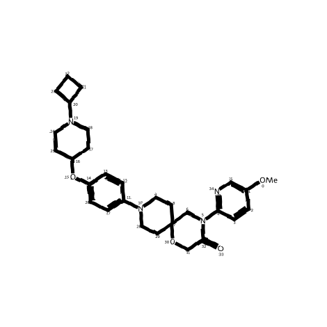 COc1ccc(N2CC3(CCN(c4ccc(OC5CCN(C6CCC6)CC5)cc4)CC3)OCC2=O)nc1